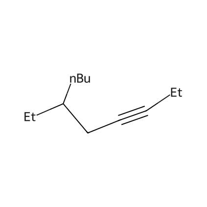 [CH2]CC#CCC(CC)CCCC